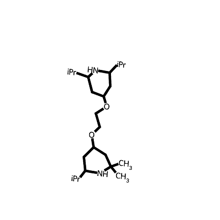 CC(C)C1CC(OCCOC2CC(C(C)C)NC(C)(C)C2)CC(C(C)C)N1